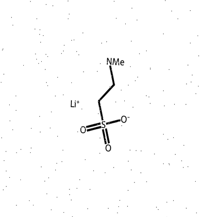 CNCCS(=O)(=O)[O-].[Li+]